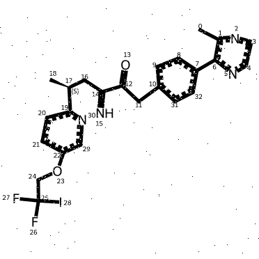 Cc1nccnc1-c1ccc(CC(=O)C(=N)C[C@H](C)c2ccc(OCC(F)(F)I)cn2)cc1